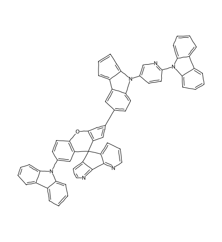 c1cnc2c(c1)C1(c3ccc(-c4ccc5c(c4)c4ccccc4n5-c4ccc(-n5c6ccccc6c6ccccc65)nc4)cc3Oc3ccc(-n4c5ccccc5c5ccccc54)cc31)c1cccnc1-2